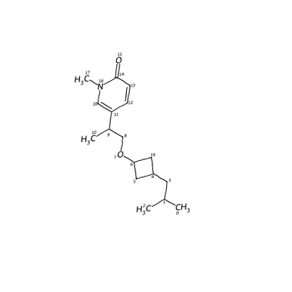 CC(C)CC1CC(OCC(C)c2ccc(=O)n(C)c2)C1